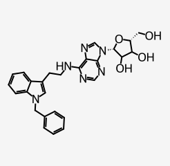 OC[C@H]1O[C@@H](n2cnc3c(NCCc4cn(Cc5ccccc5)c5ccccc45)ncnc32)C(O)C1O